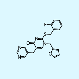 O=c1nc(SCc2ccccc2F)n(Cc2ccco2)cc1Cc1cncnc1